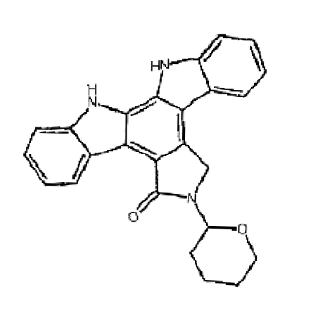 O=C1c2c(c3c4ccccc4[nH]c3c3[nH]c4ccccc4c23)CN1C1CCCCO1